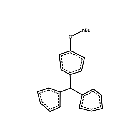 CCCCOc1ccc(C(c2ccccc2)c2ccccc2)cc1